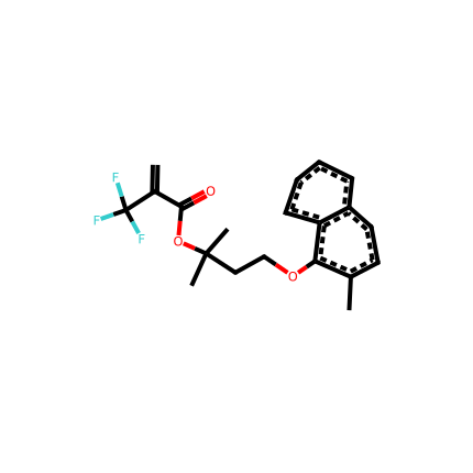 C=C(C(=O)OC(C)(C)CCOc1c(C)ccc2ccccc12)C(F)(F)F